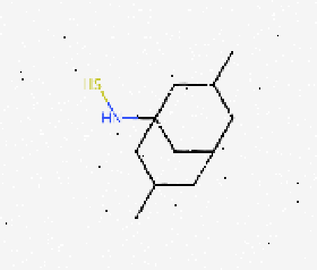 CC1CC2CC(C)CC(NS)(C1)C2